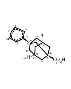 C[C@@]12C[C@H]3C[C@@](C(=O)O)(C1)C[C@](c1ccccc1)(C3)C2